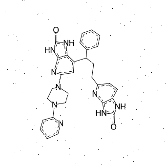 O=c1[nH]c2ccc(CCC(c3ccccc3)c3cc(N4CCN(c5ccccn5)CC4)nc4[nH]c(=O)[nH]c34)nc2[nH]1